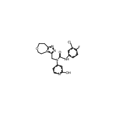 O=C(Nc1ccc(F)c(Cl)c1)N(Cc1nnc2n1CCOCC2)c1ccnc(O)c1